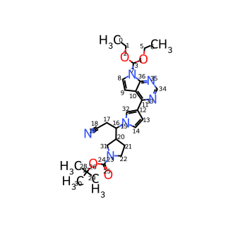 CCOC(OCC)n1ccc2c(-c3ccn(C(CC#N)C4CCN(C(=O)OC(C)(C)C)C4)c3)ncnc21